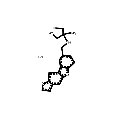 CC(CO)(CO)NCc1ccc2oc3cc4ccoc4cc3c2c1.Cl